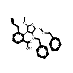 C=CCc1cccc(C(=O)O)c1[C@H]1[C@@H](OC)O[C@H](COCc2ccccc2)[C@@H]1OCc1ccccc1